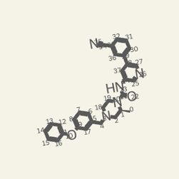 C[C@H]1CN(Cc2cccc(Oc3ccccc3)c2)CCN1C(=O)Nc1cncc(-c2cccc(C#N)c2)c1